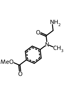 COC(=O)c1ccc(N(C)C(=O)CN)cc1